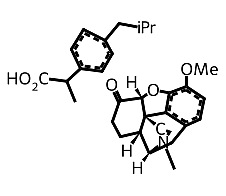 CC(C)Cc1ccc(C(C)C(=O)O)cc1.COc1ccc2c3c1O[C@H]1C(=O)CC[C@H]4[C@@H](C2)N(C)CC[C@]314